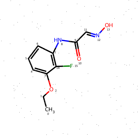 CCOc1cccc(NC(=O)C=NO)c1F